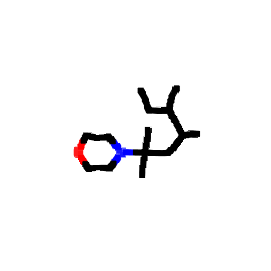 CCC(C)C(C)CC(C)(C)N1CCOCC1